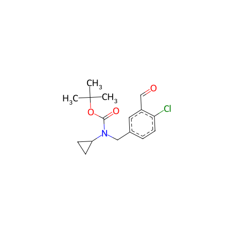 CC(C)(C)OC(=O)N(Cc1ccc(Cl)c(C=O)c1)C1CC1